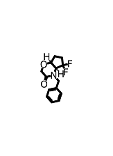 O=C1CO[C@@H]2CCC(F)(F)[C@H]2N1Cc1ccccc1